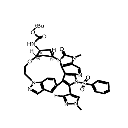 Cn1cc(-c2c3c4c(ncc5c4n(c(=O)n5C)[C@H]4C[C@H](NC(=O)OC(C)(C)C)[C@@H](C4)OCCn4ncc5cc-3ccc54)n2S(=O)(=O)c2ccccc2)c(F)n1